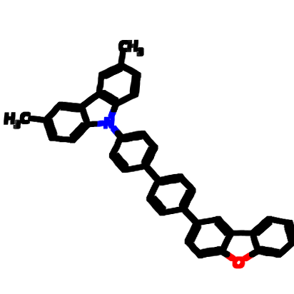 Cc1ccc2c(c1)c1cc(C)ccc1n2-c1ccc(-c2ccc(-c3ccc4oc5ccccc5c4c3)cc2)cc1